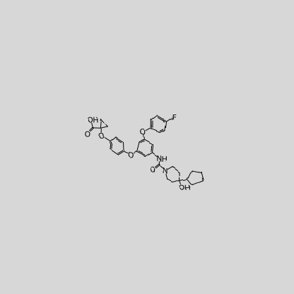 O=C(Nc1cc(Oc2ccc(F)cc2)cc(Oc2ccc(OC3(C(=O)O)CC3)cc2)c1)N1CCC(O)(C2CCCC2)CC1